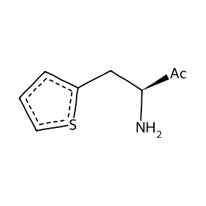 CC(=O)[C@@H](N)Cc1cccs1